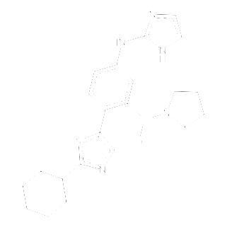 [O-][S+](c1cc(Nc2ncc[nH]2)ccc1-c1cnc(C2CCCCC2)s1)N1CCCC1